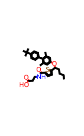 CCCCC(Oc1cc(C)c(-c2ccc(C(C)(C)C)cc2)c(C)c1)c1ccc(C(=O)NCCC(=O)O)s1